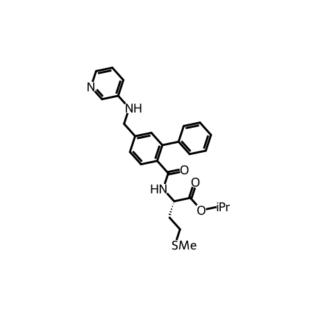 CSCC[C@H](NC(=O)c1ccc(CNc2cccnc2)cc1-c1ccccc1)C(=O)OC(C)C